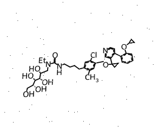 CCN(C[C@H](O)[C@@H](O)[C@H](O)[C@H](O)CO)C(=O)NCCCCc1cc(Cl)c(COC2(c3cnccc3-c3ccccc3OC3CC3)CC2)cc1C